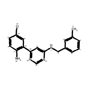 Cc1cccc(CNc2cc(-c3cc(Cl)ccc3N)ncn2)c1